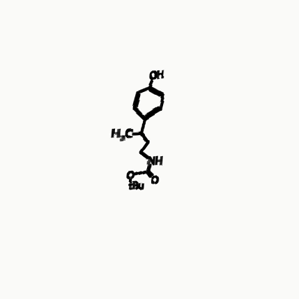 CC(CCNC(=O)OC(C)(C)C)c1ccc(O)cc1